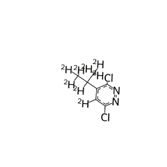 [2H]c1c(Cl)nnc(Cl)c1C([2H])(C([2H])([2H])[2H])C([2H])([2H])[2H]